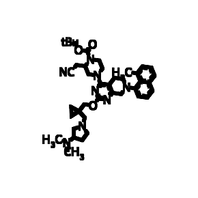 Cc1cccc2cccc(N3CCc4c(nc(OCC5(CN6CCC(N(C)C)C6)CC5)nc4N4CCN(C(=O)OC(C)(C)C)C(CC#N)C4)C3)c12